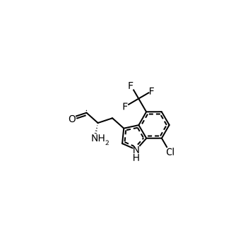 N[C@H]([C]=O)Cc1c[nH]c2c(Cl)ccc(C(F)(F)F)c12